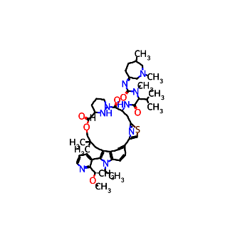 CCn1c(-c2cccnc2[C@H](C)OC)c2c3cc(ccc31)-c1csc(n1)C[C@H](NC(=O)C(C(C)C)N(C)C(=O)/N=C1/CCC(C)CN(C)C1)C(=O)N1CCC[C@H](N1)C(=O)OCC(C)(C)C2